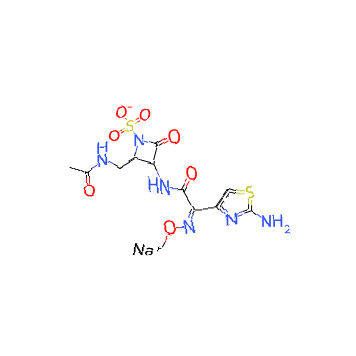 CON=C(C(=O)NC1C(=O)N(S(=O)(=O)[O-])C1CNC(C)=O)c1csc(N)n1.[Na+]